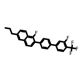 CCCc1ccc2c(F)c(-c3ccc(-c4ccc(C(F)(F)F)c(F)c4)cc3)ccc2c1